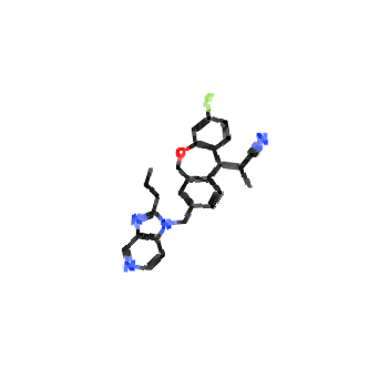 CCCc1nc2cnccc2n1Cc1ccc2c(c1)COc1cc(F)ccc1C2=C(C)C#N